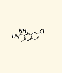 Cc1cc2ccc(Cl)cc2cc1C(=N)N